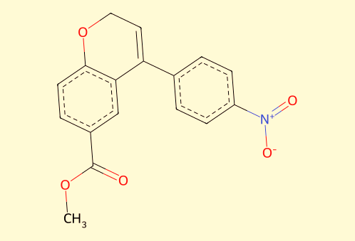 COC(=O)c1ccc2c(c1)C(c1ccc([N+](=O)[O-])cc1)=CCO2